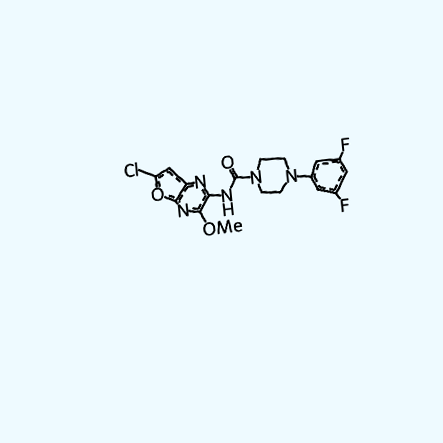 COc1nc2oc(Cl)cc2nc1NC(=O)N1CCN(c2cc(F)cc(F)c2)CC1